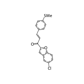 CSc1ccc(C=CC(=O)c2cc3cc(Cl)ccc3o2)cc1